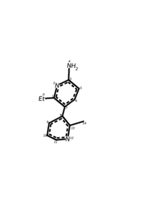 CCc1nc(N)ccc1-c1cccnc1C